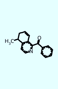 CC1CC=Cc2c1ccnc2C(=O)c1ccccc1